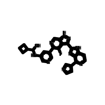 OC(Nc1cncc(-c2ncc3[nH]nc(-c4nc5c(-c6ccsc6)nccc5[nH]4)c3c2F)c1)C1CCC1